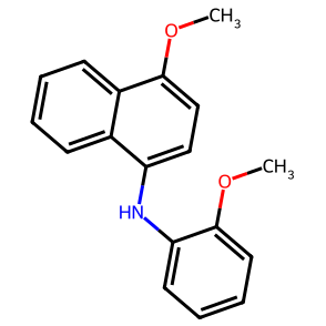 COc1ccccc1Nc1ccc(OC)c2ccccc12